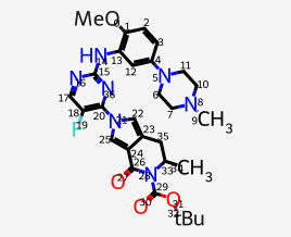 COc1ccc(N2CCN(C)CC2)cc1Nc1ncc(F)c(-n2cc3c(c2)C(=O)N(C(=O)OC(C)(C)C)C(C)C3)n1